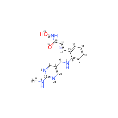 CC(C)Nc1ncc(CNc2ccccc2/C=C/C(=O)NO)cn1